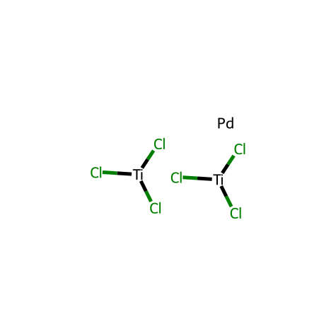 [Cl][Ti]([Cl])[Cl].[Cl][Ti]([Cl])[Cl].[Pd]